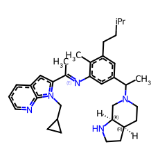 C/C(=N\c1cc(C(C)N2CC[C@H]3CCN[C@H]3C2)cc(CCC(C)C)c1C)c1cc2cccnc2n1CC1CC1